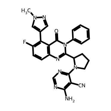 Cn1cc(-c2c(F)ccc3nc(C4CCCN4c4ncnc(N)c4C#N)n(-c4ccccc4)c(=O)c23)cn1